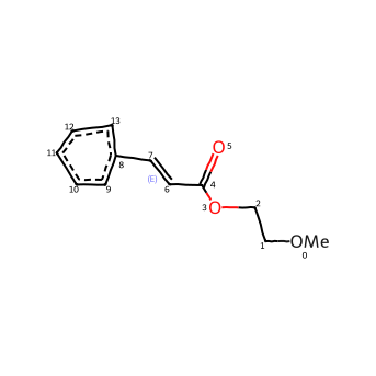 COCCOC(=O)/C=C/c1ccccc1